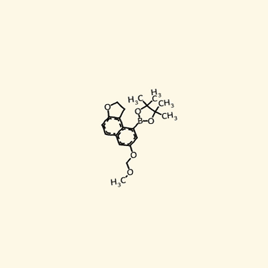 COCOc1cc(B2OC(C)(C)C(C)(C)O2)c2c3c(ccc2c1)OCC3